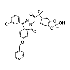 O=C(Cn1nc(-c2cccc(Cl)c2)c2ccc(OCc3ccccc3)cc2c1=O)C1(c2ccc3c(c2)OC(O)(F)O3)CC1